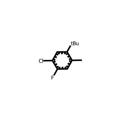 Cc1cc(F)c(Cl)cc1C(C)(C)C